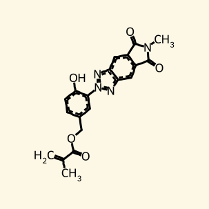 C=C(C)C(=O)OCc1ccc(O)c(-n2nc3cc4c(cc3n2)C(=O)N(C)C4=O)c1